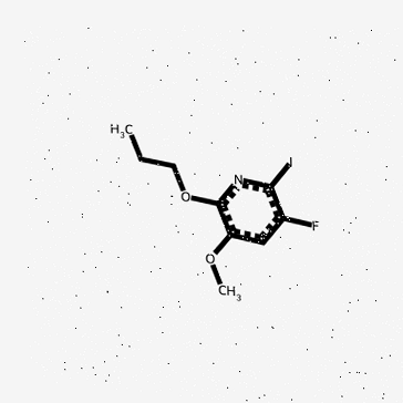 CCCOc1nc(I)c(F)cc1OC